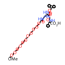 COCCOCCOCCOCCOCCOCCOCCOCCOCCOCCOCCOCCC(=O)NCCCC[C@H](NC(=O)OCC1c2ccccc2-c2ccccc21)C(=O)NCC(=O)N[C@@H](Cc1ccccc1)C(=O)O